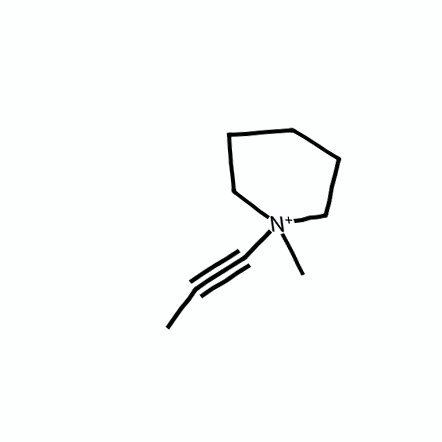 CC#C[N+]1(C)CCCCC1